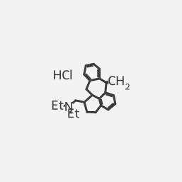 C=C1c2ccccc2CC2c3c(cccc31)CCC2CN(CC)CC.Cl